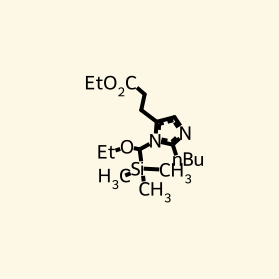 CCCCc1ncc(CCC(=O)OCC)n1C(OCC)[Si](C)(C)C